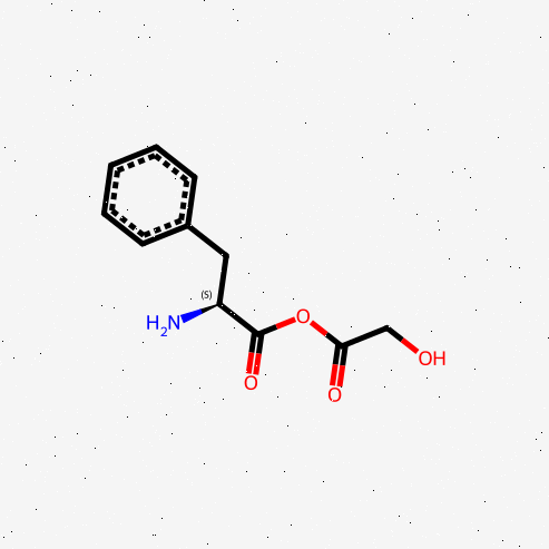 N[C@@H](Cc1ccccc1)C(=O)OC(=O)CO